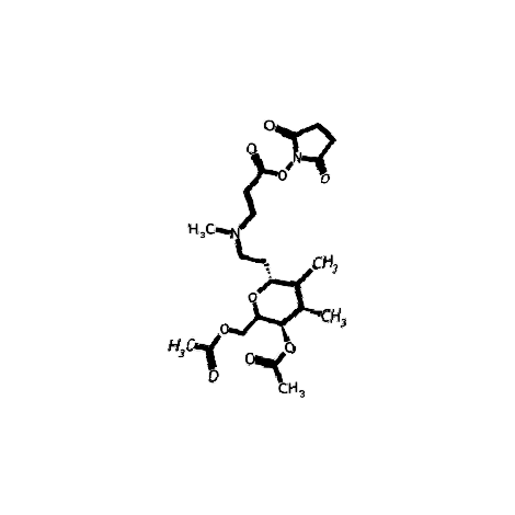 CC(=O)OCC1O[C@H](CCN(C)CCC(=O)ON2C(=O)CCC2=O)C(C)[C@@H](C)[C@H]1OC(C)=O